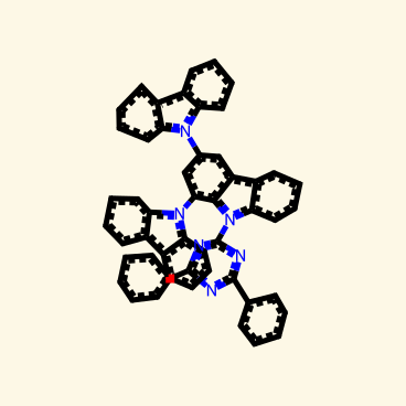 c1ccc(-c2nc(-c3ccccc3)nc(-n3c4ccccc4c4cc(-n5c6ccccc6c6ccccc65)cc(-n5c6ccccc6c6ccccc65)c43)n2)cc1